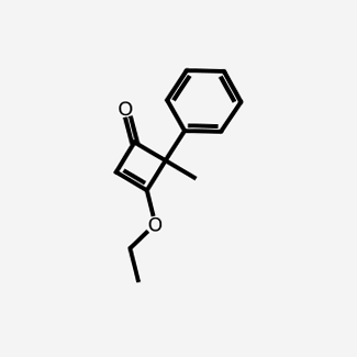 CCOC1=CC(=O)C1(C)c1ccccc1